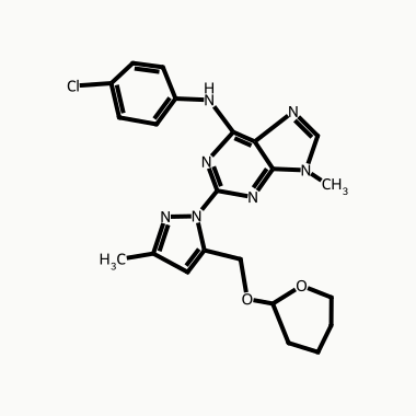 Cc1cc(COC2CCCCO2)n(-c2nc(Nc3ccc(Cl)cc3)c3ncn(C)c3n2)n1